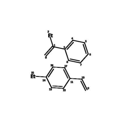 C=C(CC)c1ccccc1.C=Cc1ccc(CC)cc1